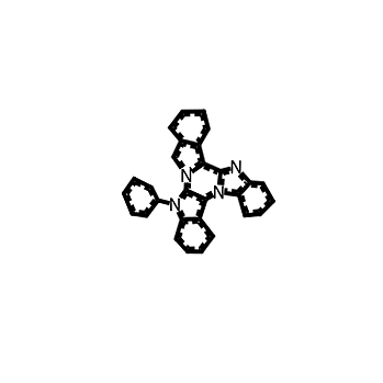 c1ccc(-n2c3ccccc3c3c2n2cc4ccccc4c2c2nc4ccccc4n23)cc1